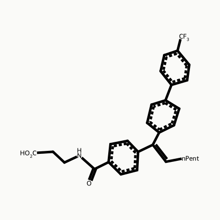 CCCCCC=C(c1ccc(C(=O)NCCC(=O)O)cc1)c1ccc(-c2ccc(C(F)(F)F)cc2)cc1